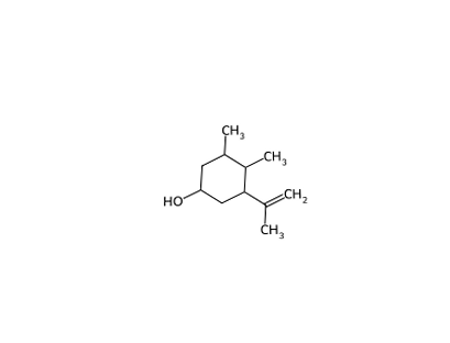 C=C(C)C1CC(O)CC(C)C1C